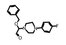 O=CC(OCc1ccccc1)N1CCN(c2ccc(F)cc2)CC1